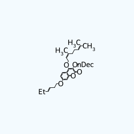 CCC=CCCOc1ccc2c(OCC=C(C)CCC=C(C)C)c(OCCCCCCCCCC)c(=O)oc2c1